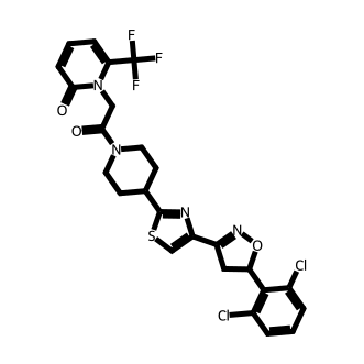 O=C(Cn1c(C(F)(F)F)cccc1=O)N1CCC(c2nc(C3=NOC(c4c(Cl)cccc4Cl)C3)cs2)CC1